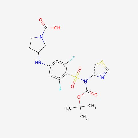 CC(C)(C)OC(=O)N(c1cscn1)S(=O)(=O)c1c(F)cc(NC2CCN(C(=O)O)C2)cc1F